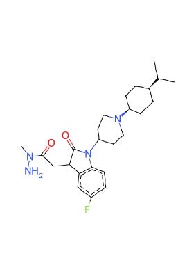 CC(C)[C@H]1CC[C@@H](N2CCC(N3C(=O)C(CC(=O)N(C)N)c4cc(F)ccc43)CC2)CC1